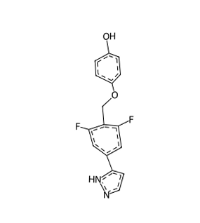 Oc1ccc(OCc2c(F)cc(-c3ccn[nH]3)cc2F)cc1